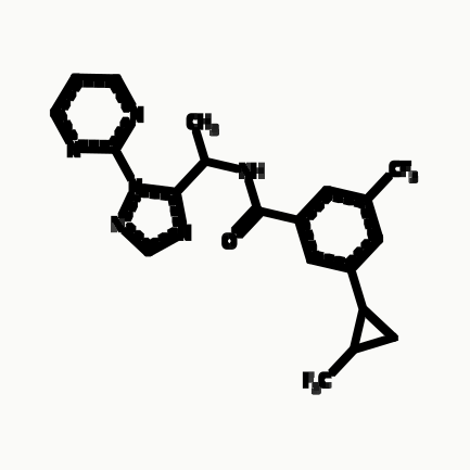 CC(NC(=O)c1cc(C2CC2C(F)(F)F)cc(C(F)(F)F)c1)c1ncnn1-c1ncccn1